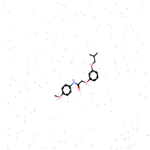 COc1ccc(NC(=O)COc2cccc(OCC(C)C)c2)cc1